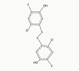 Oc1cc(SSc2cc(O)c(F)cc2Cl)c(Cl)cc1F